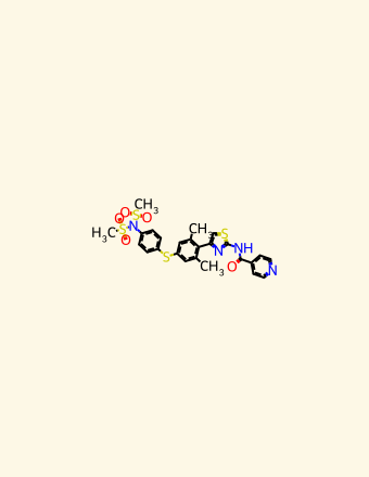 Cc1cc(Sc2ccc(N(S(C)(=O)=O)S(C)(=O)=O)cc2)cc(C)c1-c1csc(NC(=O)c2ccncc2)n1